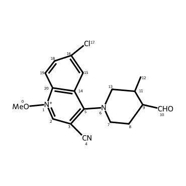 CO[n+]1cc(C#N)c(N2CCC(C=O)C(C)C2)c2cc(Cl)ccc21